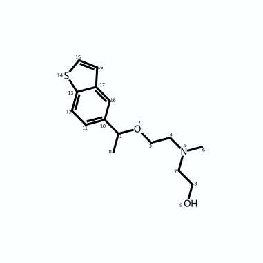 CC(OCCN(C)CCO)c1ccc2sccc2c1